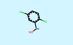 OBc1cc(Cl)ccc1Cl